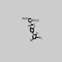 CO[C@@H]1C[C@H](C(=O)Nc2ccc(-n3cc(Br)cc(N)c3=O)cc2F)N(C(=O)O)C1